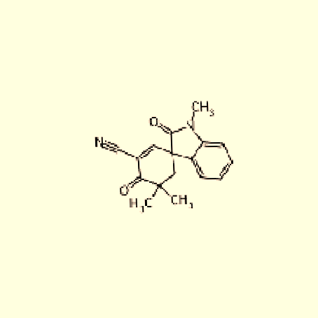 CN1C(=O)C2(C=C(C#N)C(=O)C(C)(C)C2)c2ccccc21